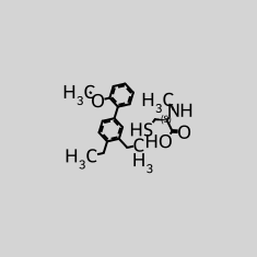 CCc1ccc(-c2ccccc2OC)cc1CC.CN[C@H](CS)C(=O)O